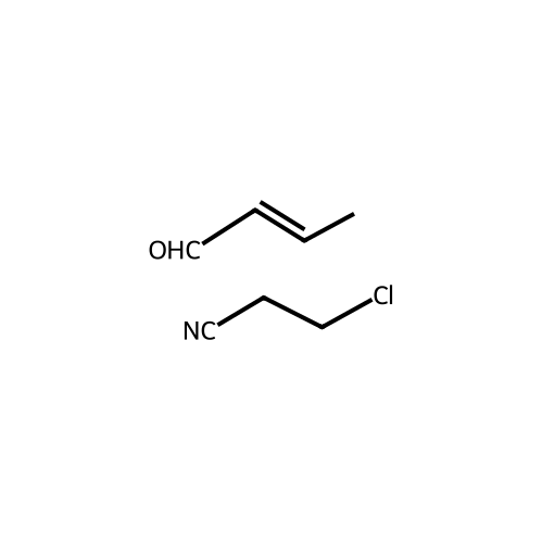 CC=CC=O.N#CCCCl